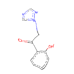 O=C(Cn1cncn1)c1ccccc1O